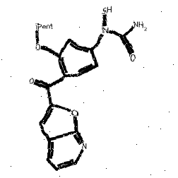 CCCC(C)Oc1cc(N(S)C(N)=O)ccc1C(=O)c1cc2cccnc2o1